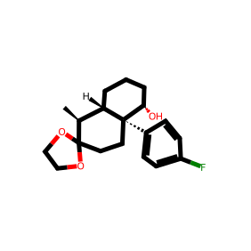 C[C@H]1[C@@H]2CCC[C@H](O)[C@@]2(c2ccc(F)cc2)CCC12OCCO2